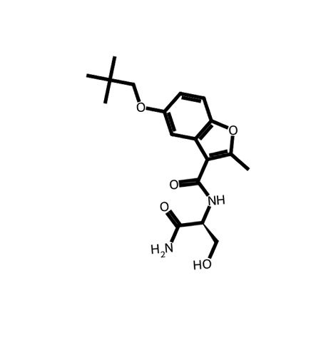 Cc1oc2ccc(OCC(C)(C)C)cc2c1C(=O)N[C@@H](CO)C(N)=O